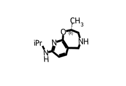 CC(C)Nc1ccc2c(n1)O[C@H](C)CNC2